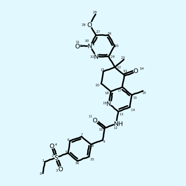 CCS(=O)(=O)c1ccc(CC(=O)Nc2cc(C)c3c(n2)CCC(C)(c2ccc(OC)[n+]([O-])n2)C3=O)cc1